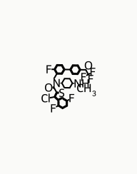 CN[C@H]1CC[C@H](N(Cc2cc(-c3ccc(C(=O)C(F)(F)F)cc3)ccc2F)C(=O)c2sc3c(F)ccc(F)c3c2Cl)CC1